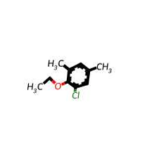 CCOc1c(C)cc(C)cc1Cl